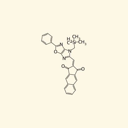 C[Si](C)(C)Cn1c(C=C2C(=O)c3cc4ccccc4cc3C2=O)nc2oc(-c3ccccc3)nc21